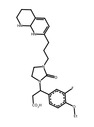 CCOc1ccc(C(CC(=O)O)N2CCN(CCCC3=CC=C4CCCNC4N3)C2=O)cc1F